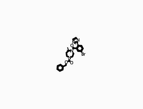 C[C@@H]1CCN(C(=O)OCc2ccccc2)CCN1C(=O)c1cc(Br)ccc1-n1nccn1